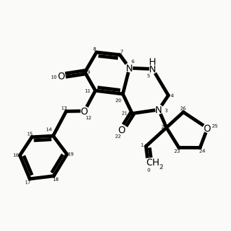 C=CC1(N2CNn3ccc(=O)c(OCc4ccccc4)c3C2=O)CCOC1